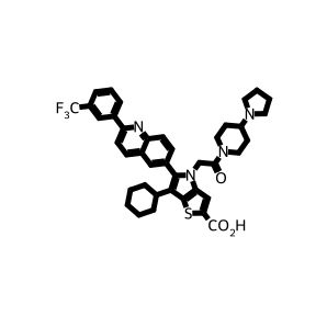 O=C(O)c1cc2c(s1)c(C1CCCCC1)c(-c1ccc3nc(-c4cccc(C(F)(F)F)c4)ccc3c1)n2CC(=O)N1CCC(N2CCCC2)CC1